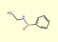 CCN[S+]([O-])c1cc[c]cc1